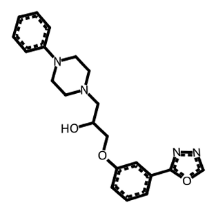 OC(COc1cccc(-c2nnco2)c1)CN1CCN(c2ccccc2)CC1